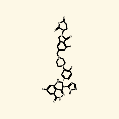 Cn1ncnc1[C@H]1c2n[nH]c(=O)c3cc(F)cc(c23)N[C@@H]1c1ccc(F)c(N2CCN(Cc3cc(F)c4c(c3)CN(C3CCC(=O)NC3=O)C4=O)CC2)c1